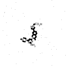 CC1Cc2ccc(-c3cnn(CC(=O)O)c3)cc2CN1c1cc(N2CCN(C)CC2)nc(N)n1